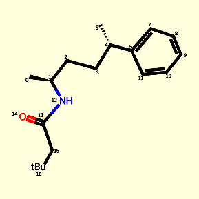 C[C@@H](CC[C@H](C)c1ccccc1)NC(=O)CC(C)(C)C